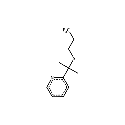 CC(C)(SCCC(F)(F)F)c1ccccn1